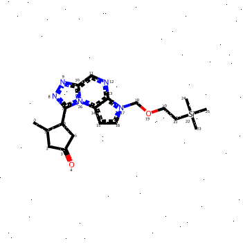 CC1CC(=O)CC1c1nnc2cnc3c(ccn3COCC[Si](C)(C)C)n12